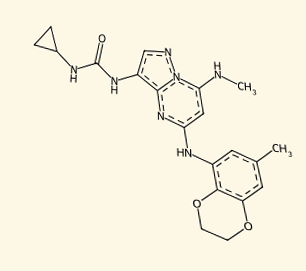 CNc1cc(Nc2cc(C)cc3c2OCCO3)nc2c(NC(=O)NC3CC3)cnn12